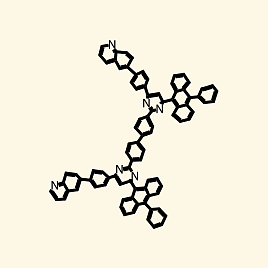 c1ccc(-c2c3ccccc3c(-c3cc(-c4ccc(-c5ccc6ncccc6c5)cc4)nc(-c4ccc(-c5ccc(-c6nc(-c7ccc(-c8ccc9ncccc9c8)cc7)cc(-c7c8ccccc8c(-c8ccccc8)c8ccccc78)n6)cc5)cc4)n3)c3ccccc23)cc1